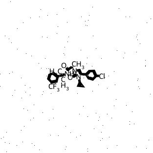 CC(C(=O)NC(C)(C)c1cccc(C(F)(F)F)c1)n1cc(-c2ccc(Cl)cc2)n(C2CC2)c1=O